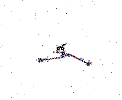 Cc1c(-c2cccc(S(=O)(=O)N(C)C)c2)c2cc(C(=O)Nc3ccc4c(c3)n(Cc3cn(CCOCCOCCOCCNC(=O)CCCC[C@@H]5SC[C@@H]6NC(=O)N[C@@H]65)nn3)c(=O)n4Cc3cn(CCOCCOCCOCCNC(=O)CCCC[C@@H]4SC[C@@H]5NC(=O)N[C@@H]54)nn3)ccc2n1C/C(F)=C/CN